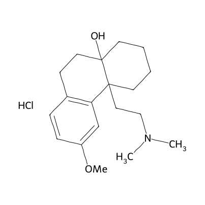 COc1ccc2c(c1)C1(CCN(C)C)CCCCC1(O)CC2.Cl